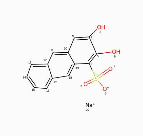 O=S(=O)([O-])c1c(O)c(O)cc2cc3ccccc3cc12.[Na+]